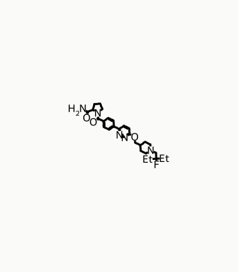 CCC(F)(CC)CN1CCC(COc2ccc(-c3ccc(C(=O)N4CCCC4C(N)=O)cc3)nn2)CC1